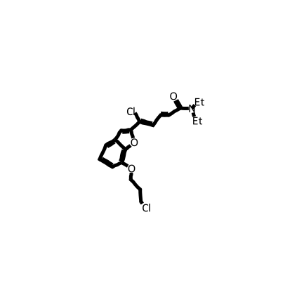 CCN(CC)C(=O)C=CC=C(Cl)c1cc2cccc(OCCCCl)c2o1